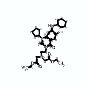 CCOC(=O)CN(CCn1c(=O)c2cc(F)c(NC3CCCCC3)cc2n(C2CCCC2)c1=O)CC(=O)OCC